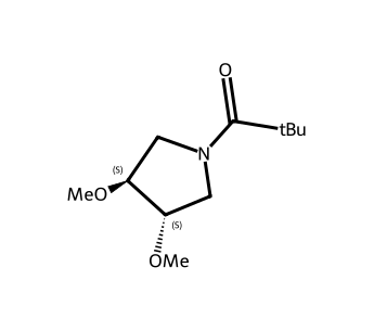 CO[C@H]1CN(C(=O)C(C)(C)C)C[C@@H]1OC